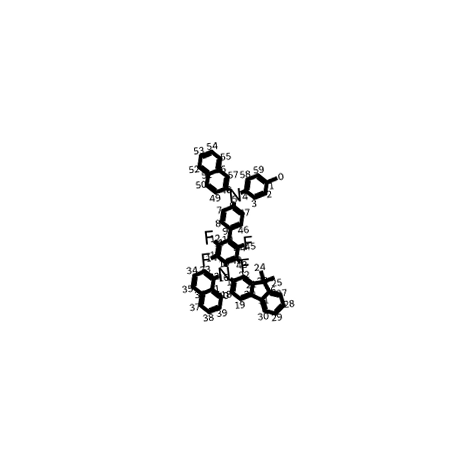 Cc1ccc(N(c2ccc(-c3c(F)c(F)c(N(c4ccc5c(c4)C(C)(C)c4ccccc4-5)c4cccc5ccccc45)c(F)c3F)cc2)c2ccc3ccccc3c2)cc1